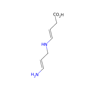 NC=CCNC=CCC(=O)O